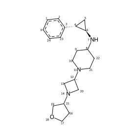 c1ccc([C@@H]2C[C@H]2NC2CCN([C]3CN(C4CCOC4)C3)CC2)cc1